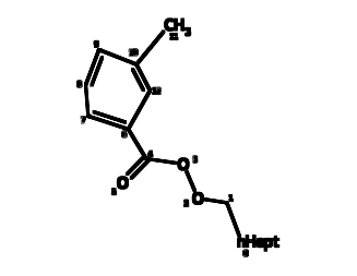 [CH2]CCCCCCCOOC(=O)c1cccc(C)c1